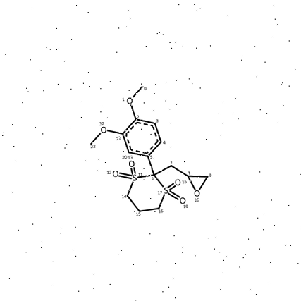 COc1ccc(C2(CC3CO3)S(=O)(=O)CCCS2(=O)=O)cc1OC